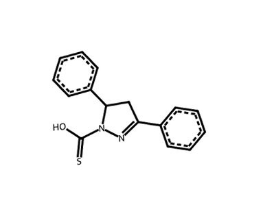 OC(=S)N1N=C(c2ccccc2)CC1c1ccccc1